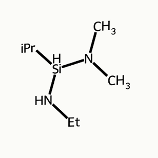 CCN[SiH](C(C)C)N(C)C